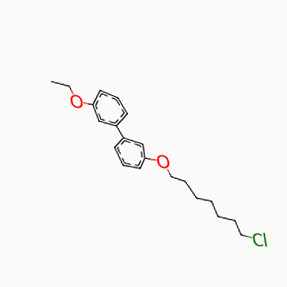 CCOc1cccc(-c2cccc(OCCCCCCCCl)c2)c1